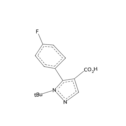 CC(C)(C)n1ncc(C(=O)O)c1-c1ccc(F)cc1